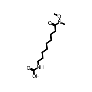 CON(C)C(=O)CCCCCCCCNC(=O)O